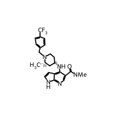 CNC(=O)c1cnc2[nH]ccc2c1N[C@H]1CCN(Cc2ccc(C(F)(F)F)cc2)[C@@H](C)C1